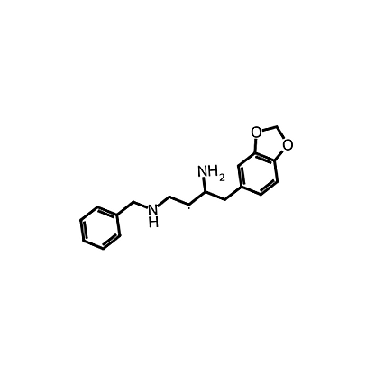 NC([CH]CNCc1ccccc1)Cc1ccc2c(c1)OCO2